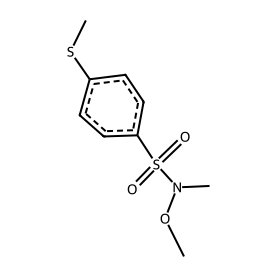 CON(C)S(=O)(=O)c1ccc(SC)cc1